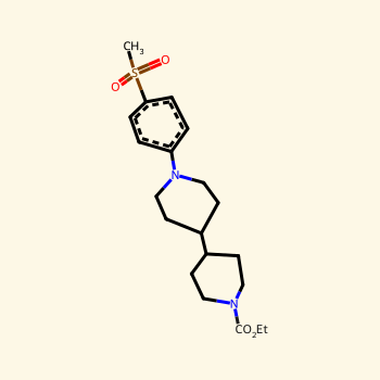 CCOC(=O)N1CCC(C2CCN(c3ccc(S(C)(=O)=O)cc3)CC2)CC1